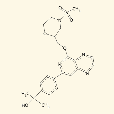 CC(C)(O)c1ccc(-c2cc3nccnc3c(OCC3CN(S(C)(=O)=O)CCO3)n2)cc1